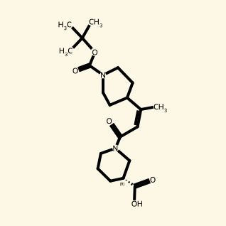 CC(=CC(=O)N1CCC[C@@H](C(=O)O)C1)C1CCN(C(=O)OC(C)(C)C)CC1